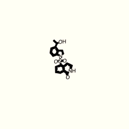 CC(O)c1cccc2c1CCN2S(=O)(=O)c1cccc2c(=O)[nH]ccc12